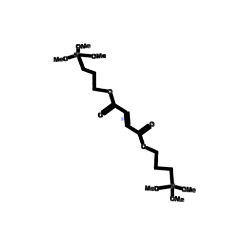 CO[Si](CCCOC(=O)/C=C/C(=O)OCCC[Si](OC)(OC)OC)(OC)OC